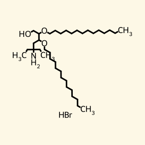 Br.CCCCCCCCCCCCCCOC(CO)C(CC(N)(CC)CC)OCCCCCCCCCCCCCC